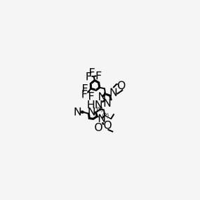 CCOC(=O)N1c2ccc(C#N)nc2[C@@H](Nc2ncc(N3CCOCC3)c(Cc3cc(C(F)(F)F)cc(C(F)(F)F)c3)n2)C[C@H]1CC